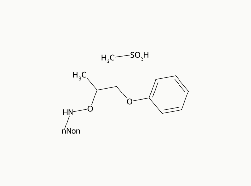 CCCCCCCCCNOC(C)COc1ccccc1.CS(=O)(=O)O